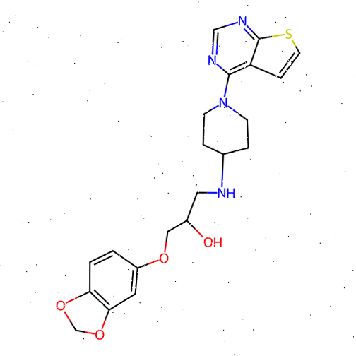 OC(CNC1CCN(c2ncnc3sccc23)CC1)COc1ccc2c(c1)OCO2